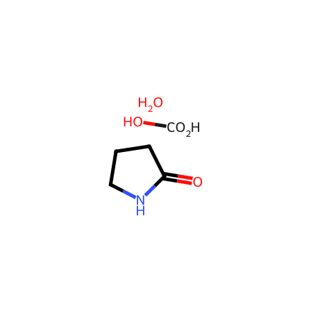 O.O=C(O)O.O=C1CCCN1